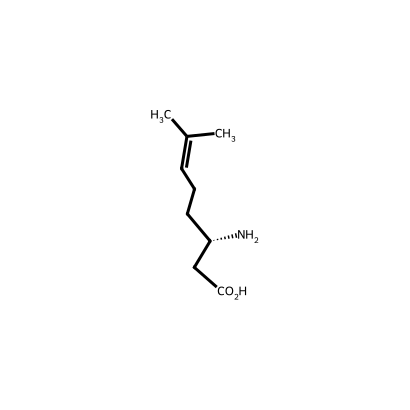 CC(C)=CCC[C@H](N)CC(=O)O